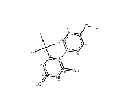 COc1ccc(-n2c(C(F)(F)F)cc(=O)[nH]c2=O)cn1